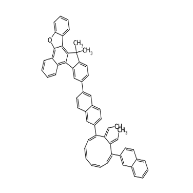 C/C=c1/c(-c2ccc3ccccc3c2)ccccccc(-c2ccc3cc(-c4ccc5c(c4)-c4c(c6c7ccccc7oc6c6ccccc46)C5(C)C)ccc3c2)/c1=C/C